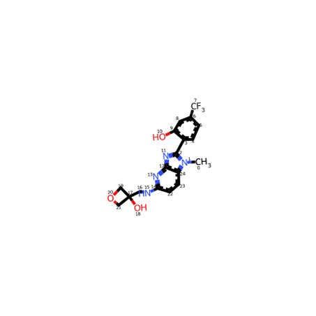 Cn1c(-c2ccc(C(F)(F)F)cc2O)nc2nc(NCC3(O)COC3)ccc21